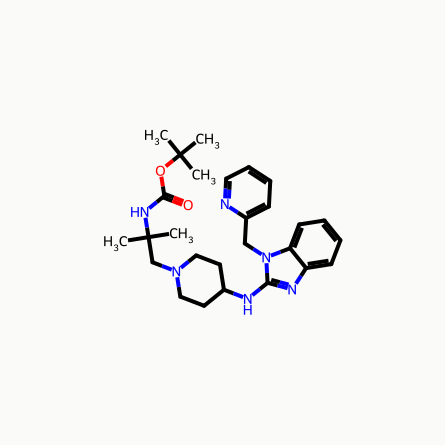 CC(C)(CN1CCC(Nc2nc3ccccc3n2Cc2ccccn2)CC1)NC(=O)OC(C)(C)C